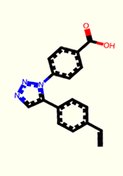 C=Cc1ccc(-c2cnnn2-c2ccc(C(=O)O)cc2)cc1